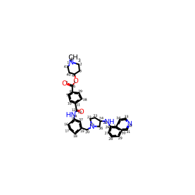 CN1CCC(OC(=O)c2ccc(C(=O)Nc3cccc(CN4CCC(Nc5cccc6cnccc56)C4)c3)cc2)CC1